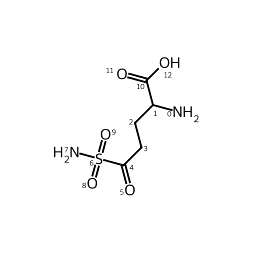 NC(CCC(=O)S(N)(=O)=O)C(=O)O